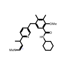 CN/C=C\C(C)c1ccc(Cc2cc(C(=O)NC3CCCCC3)c(OC)c(C)c2C)cn1